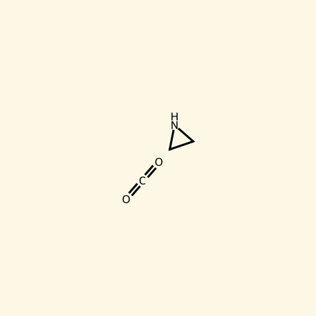 C1CN1.O=C=O